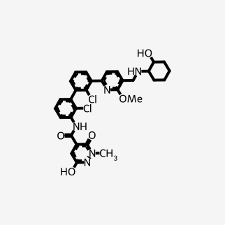 COc1nc(-c2cccc(-c3cccc(NC(=O)c4cc(O)nn(C)c4=O)c3Cl)c2Cl)ccc1CNC1CCCCC1O